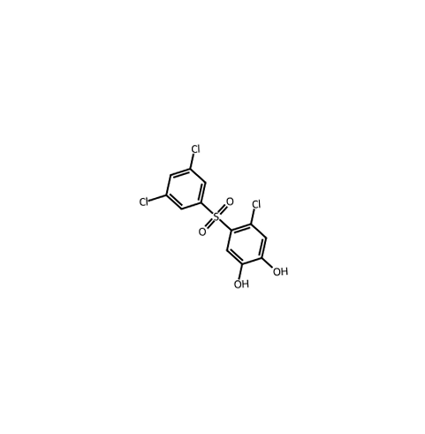 O=S(=O)(c1cc(Cl)cc(Cl)c1)c1cc(O)c(O)cc1Cl